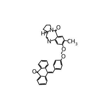 Cc1cc2c(cc1OCOc1ccc(C=C3c4ccccc4C(=O)c4ccccc43)cc1)N=C[C@@H]1CCCN1C2=O